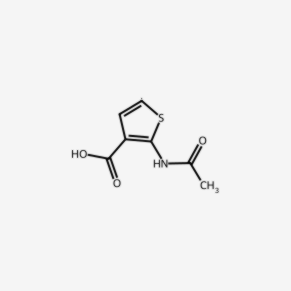 CC(=O)Nc1s[c]cc1C(=O)O